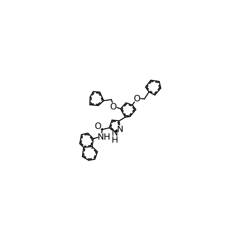 O=C(Nc1cccc2ccccc12)c1cc(-c2ccc(OCc3ccccc3)cc2OCc2ccccc2)n[nH]1